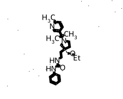 CCOC[C@@]1(CCNC(=O)Nc2ccccc2)CCN(C(C)(C)c2ccc(C)nc2)C1